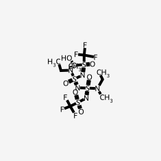 CCN(C)S(=O)(=NS(=O)(=O)C(F)(F)F)N=S(=O)(N=S(=O)(OO)C(F)(F)F)N(C)CC